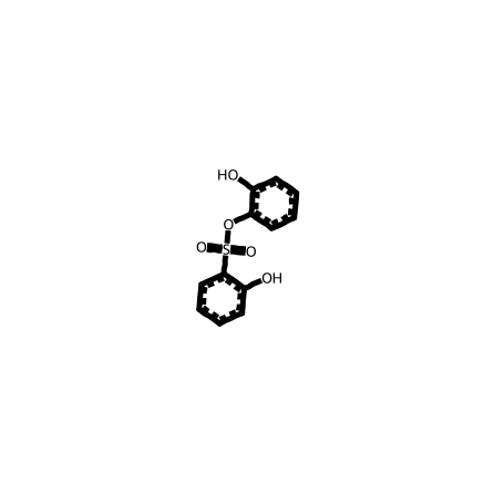 O=S(=O)(Oc1ccccc1O)c1ccccc1O